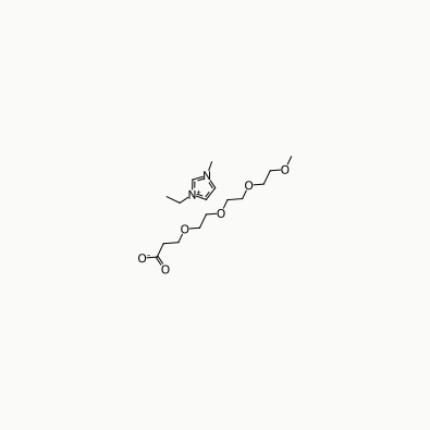 CC[n+]1ccn(C)c1.COCCOCCOCCOCCC(=O)[O-]